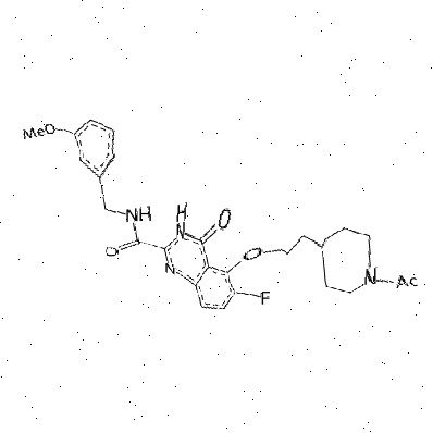 COc1cccc(CNC(=O)c2nc3ccc(F)c(OCCC4CCN(C(C)=O)CC4)c3c(=O)[nH]2)c1